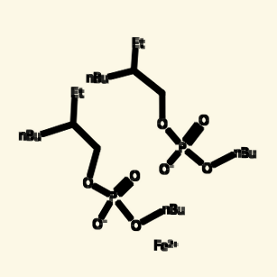 CCCCOP(=O)([O-])OCC(CC)CCCC.CCCCOP(=O)([O-])OCC(CC)CCCC.[Fe+2]